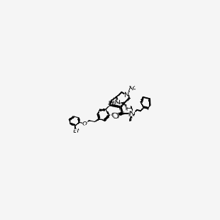 CCc1ccccc1OCCc1ccc(C2=C(C(=O)N(C)CCc3ccccc3)[C@H]3CN(C(C)=O)CC(C2)N3)cc1